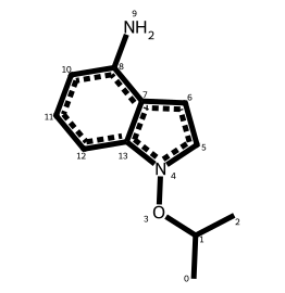 CC(C)On1ccc2c(N)cccc21